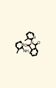 Cc1cccnc1N.Cc1cccnc1N1C(=O)c2ccccc2C1=O